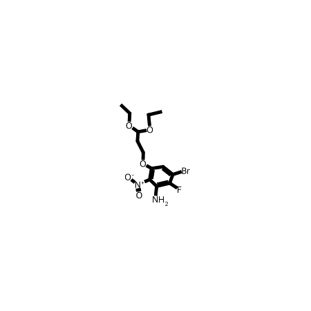 CCOC(CCOc1cc(Br)c(F)c(N)c1[N+](=O)[O-])OCC